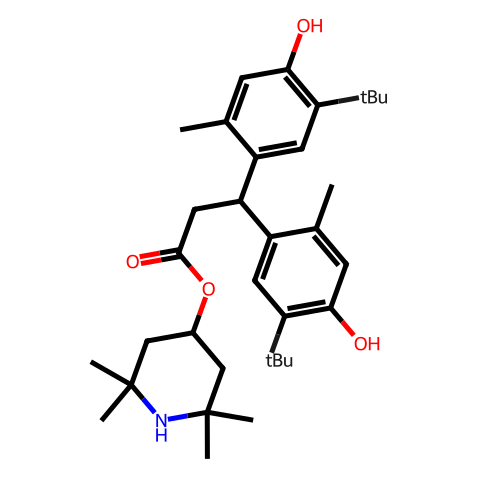 Cc1cc(O)c(C(C)(C)C)cc1C(CC(=O)OC1CC(C)(C)NC(C)(C)C1)c1cc(C(C)(C)C)c(O)cc1C